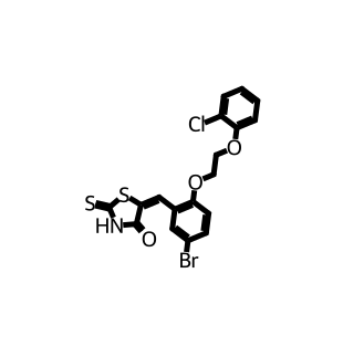 O=C1NC(=S)SC1=Cc1cc(Br)ccc1OCCOc1ccccc1Cl